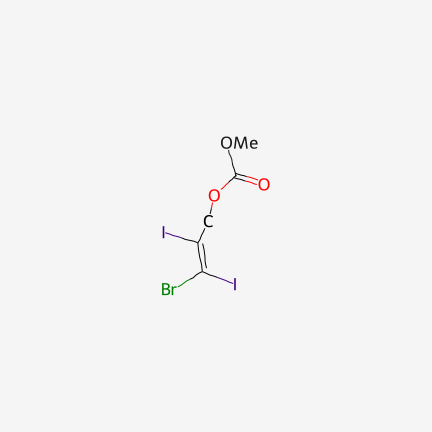 COC(=O)OC/C(I)=C(/Br)I